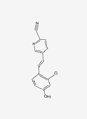 N#Cc1ccc(/C=C/c2ccc(O)cc2Cl)cn1